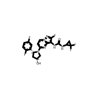 O=C(Nc1c(F)nn2ccc(N3C[C@H](O)C[C@@H]3c3cc(F)ccc3F)nc12)NC1CC1(F)F